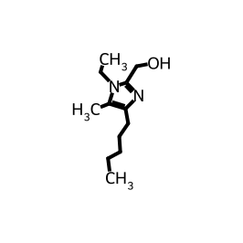 CCCCCc1nc(CO)n(CC)c1C